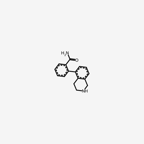 NC(=O)c1ccccc1-c1cccc2c1CCNC2